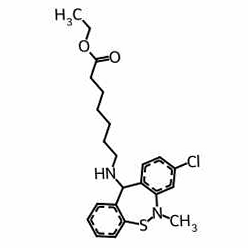 CCOC(=O)CCCCCCNC1c2ccccc2SN(C)c2cc(Cl)ccc21